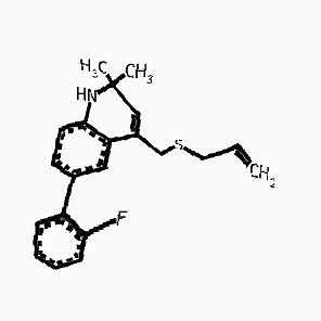 C=CCSCC1=CC(C)(C)Nc2ccc(-c3ccccc3F)cc21